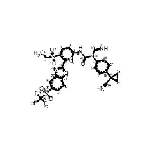 CCS(=O)(=O)c1ccc(NC(=O)N(C=N)c2ccc(C3(C#N)CC3)cc2)nc1-c1nc2cc(S(=O)(=O)C(F)(F)F)ccc2o1